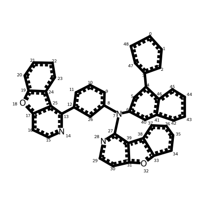 c1ccc(-c2cc(N(c3cccc(-c4nccc5oc6ccccc6c45)c3)c3nccc4oc5ccccc5c34)cc3ccccc23)cc1